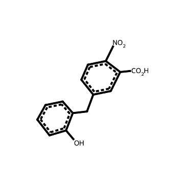 O=C(O)c1cc(Cc2ccccc2O)ccc1[N+](=O)[O-]